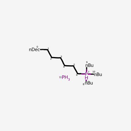 CCCCCCCCCCCCCCCC[PH](CCCC)(CCCC)CCCC.P